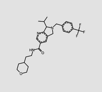 CC(C)C1c2ncc(C(=O)NCCC3CCOCC3)cc2CN1Cc1ccc(C(F)(F)F)cc1